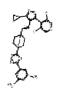 O=C(O)c1cc(-c2noc(C34CCC(/C=C/c5c(-c6c(Cl)cncc6Cl)noc5C5CC5)(CC3)CC4)n2)cc(C(F)(F)F)c1